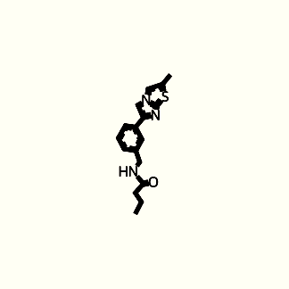 CCCC(=O)NCc1cccc(-c2cn3cc(C)sc3n2)c1